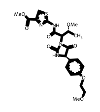 COCCOc1ccc([C@H]2NC(=O)N(C(C(=O)Nc3nc(C(=O)OC)cs3)[C@@H](C)OC)C2=O)cc1